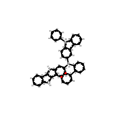 c1ccc(-c2ccccc2N(c2ccc3c(c2)sc2c4ccccc4oc32)c2ccc3c(c2)c2ccccc2n3-c2ccccc2)cc1